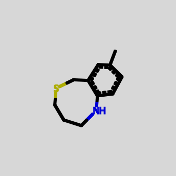 Cc1ccc2c(c1)CSCCCN2